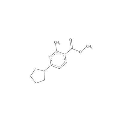 COC(=O)c1ccc(C2CCCC2)cc1C